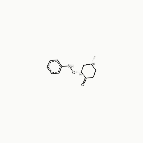 C[C@@H]1CCC(=O)[C@H](ONc2ccccc2)C1